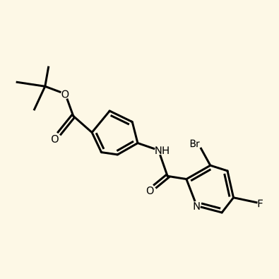 CC(C)(C)OC(=O)c1ccc(NC(=O)c2ncc(F)cc2Br)cc1